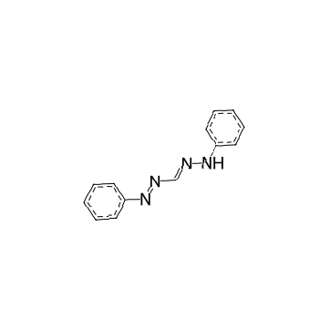 C(=NNc1ccccc1)N=Nc1ccccc1